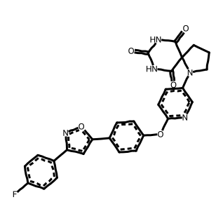 O=C1NC(=O)C2(CCCN2c2ccc(Oc3ccc(-c4cc(-c5ccc(F)cc5)no4)cc3)nc2)C(=O)N1